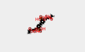 C=C(C)C(=O)OCC(O)COc1ccc(C(C)(C)c2ccc(OCC(O)COC(=O)C(C)(C)C)c(P(=O)(O)O)c2)cc1P(=O)(O)O